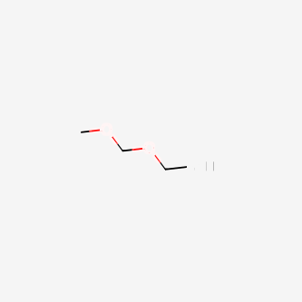 COCO[CH2][SnH3]